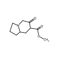 COC(=O)C1CC2CCCN2CC1=O